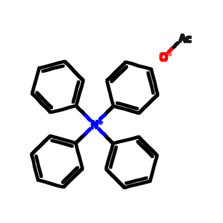 CC(=O)[O-].c1ccc([N+](c2ccccc2)(c2ccccc2)c2ccccc2)cc1